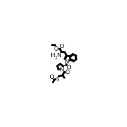 CCOC(=O)[C@@H](N)Cc1cn(C(=O)[C@@H]2CCCN2C(=O)C(C)CSC(C)=O)c2ccccc12